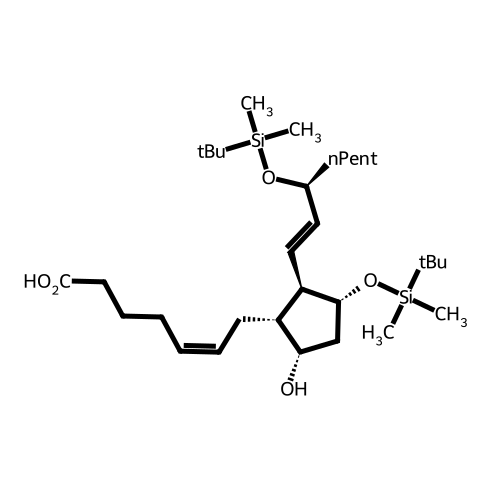 CCCCC[C@@H](/C=C/[C@@H]1[C@@H](C/C=C\CCCC(=O)O)[C@@H](O)C[C@H]1O[Si](C)(C)C(C)(C)C)O[Si](C)(C)C(C)(C)C